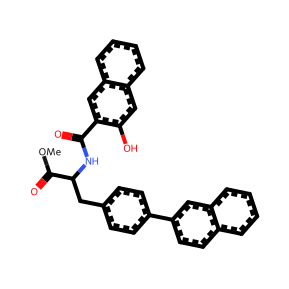 COC(=O)C(Cc1ccc(-c2ccc3ccccc3c2)cc1)NC(=O)c1cc2ccccc2cc1O